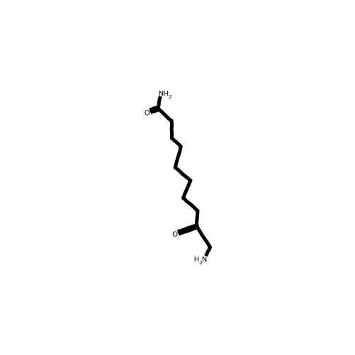 NCC(=O)CCCCCCCC(N)=O